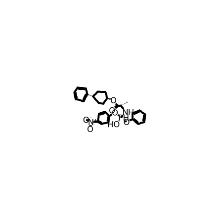 C[C@H](N[PH](O)(Oc1ccccc1)Oc1ccc([N+](=O)[O-])cc1)C(=O)O[C@H]1CC[C@H](c2ccccc2)CC1